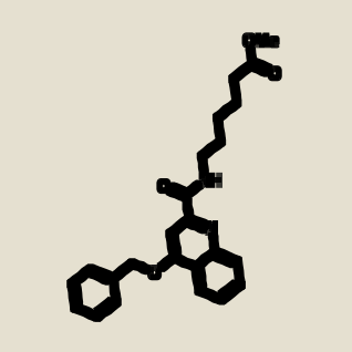 COC(=O)CCCCCNC(=O)c1cc(OCc2ccccc2)c2ccccc2n1